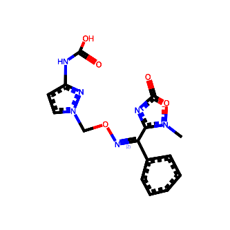 Cn1oc(=O)nc1/C(=N\OCn1ccc(NC(=O)O)n1)c1ccccc1